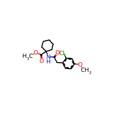 COC(=O)C1(NC(=O)Cc2ccc(OC)cc2Cl)CCCCC1